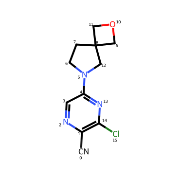 N#Cc1ncc(N2CCC3(COC3)C2)nc1Cl